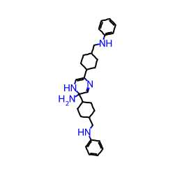 NC1(C2CCC(CNc3ccccc3)CC2)C=NC(C2CCC(CNc3ccccc3)CC2)=CN1